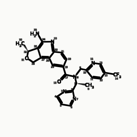 C[C@H](c1ncccn1)N(Cc1ccc(C(F)(F)F)cn1)C(=O)c1ccc2nc(N)c3c(c2c1)CO[C@@H]3C